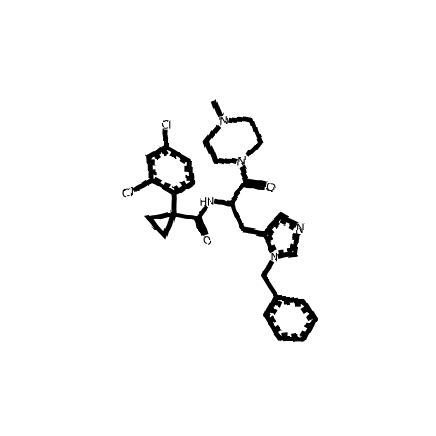 CN1CCN(C(=O)C(Cc2cncn2Cc2ccccc2)NC(=O)C2(c3ccc(Cl)cc3Cl)CC2)CC1